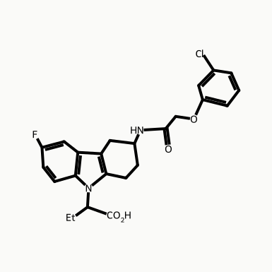 CCC(C(=O)O)n1c2c(c3cc(F)ccc31)CC(NC(=O)COc1cccc(Cl)c1)CC2